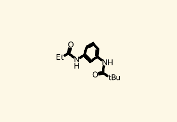 CCC(=O)Nc1cccc(NC(=O)C(C)(C)C)c1